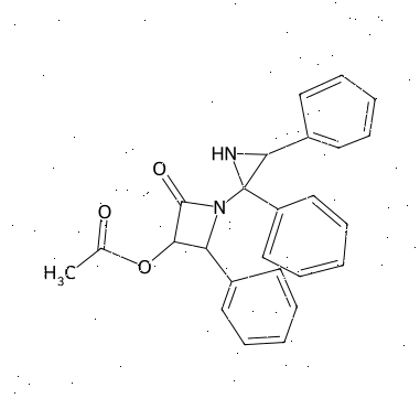 CC(=O)OC1C(=O)N(C2(c3ccccc3)NC2c2ccccc2)C1c1ccccc1